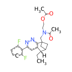 CC[C@@H]1c2cc(-c3c(F)cccc3F)nnc2C2(CN(CCOC(C)=O)C(C)=O)CC1C2